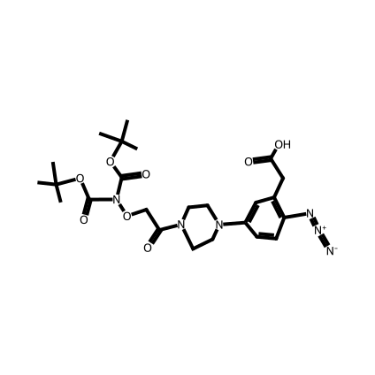 CC(C)(C)OC(=O)N(OCC(=O)N1CCN(c2ccc(N=[N+]=[N-])c(CC(=O)O)c2)CC1)C(=O)OC(C)(C)C